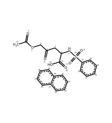 CC(=O)OCC(=O)CC(NS(=O)(=O)c1ccccc1)C(=O)O.c1ccc2ccccc2c1